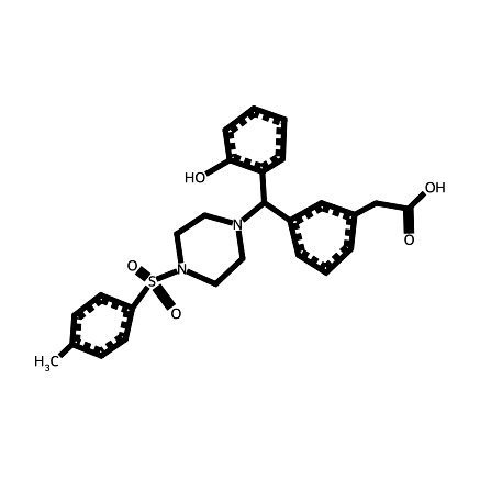 Cc1ccc(S(=O)(=O)N2CCN(C(c3cccc(CC(=O)O)c3)c3ccccc3O)CC2)cc1